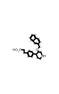 O=C(O)CCc1ccc(C2CCNCC2OCc2ccc3ccccc3c2)cc1